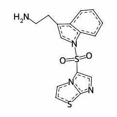 NCCc1cn(S(=O)(=O)c2cnc3sccn23)c2ccccc12